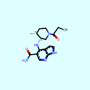 C[C@@H]1CCN(C(=O)CC#N)C[C@@H]1Nc1c(C(N)=O)cnc2[nH]ccc12